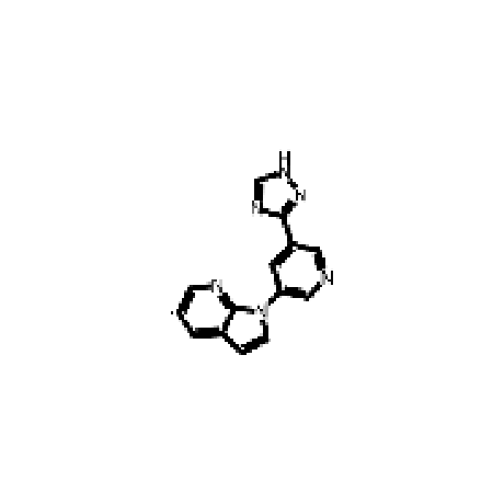 [c]1cnc2c(c1)ccn2-c1cncc(-c2nc[nH]n2)c1